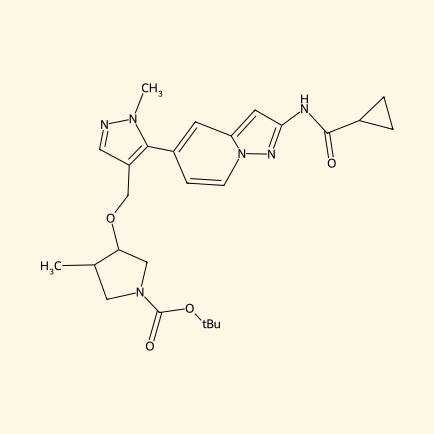 CC1CN(C(=O)OC(C)(C)C)CC1OCc1cnn(C)c1-c1ccn2nc(NC(=O)C3CC3)cc2c1